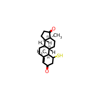 C[C@]12CC[C@H]3[C@@H](CCC4=CC(=O)CC(S)[C@@]43C)[C@@H]1CCC2=O